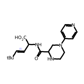 CC(C)(C)/C=C/C(NC(=O)C1CN(c2ccncc2)CCN1)C(=O)O